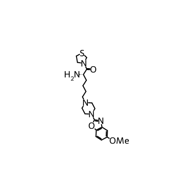 COc1ccc2oc(N3CCN(CCCC[C@H](N)C(=O)N4CCSC4)CC3)nc2c1